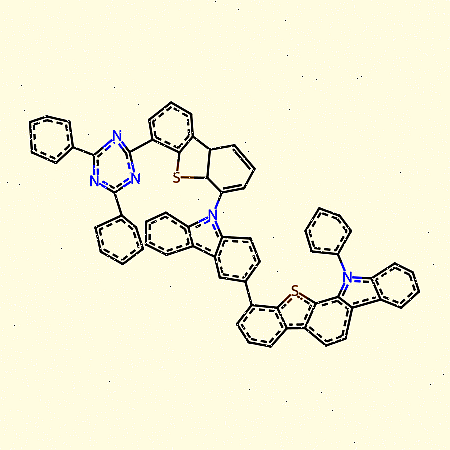 C1=CC2c3cccc(-c4nc(-c5ccccc5)nc(-c5ccccc5)n4)c3SC2C(n2c3ccccc3c3cc(-c4cccc5c4sc4c5ccc5c6ccccc6n(-c6ccccc6)c54)ccc32)=C1